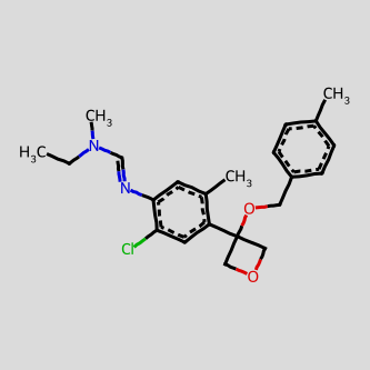 CCN(C)C=Nc1cc(C)c(C2(OCc3ccc(C)cc3)COC2)cc1Cl